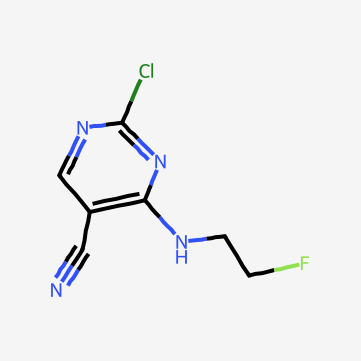 N#Cc1cnc(Cl)nc1NCCF